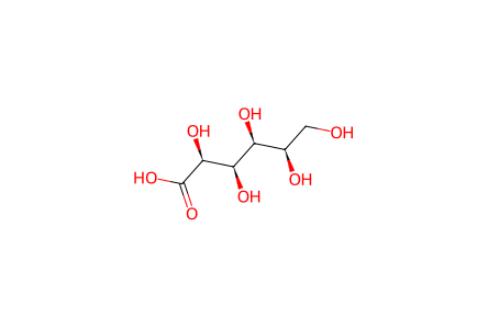 O=C(O)[C@@H](O)[C@H](O)[C@@H](O)[C@H](O)CO